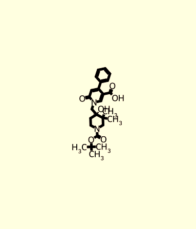 CC(C)(C)OC(=O)N1CC[C@@](O)(Cn2cc(C(=O)O)c(-c3ccccc3)cc2=O)C(C)(C)C1